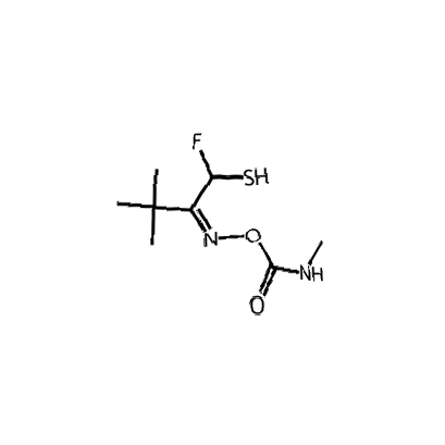 CNC(=O)ON=C(C(F)S)C(C)(C)C